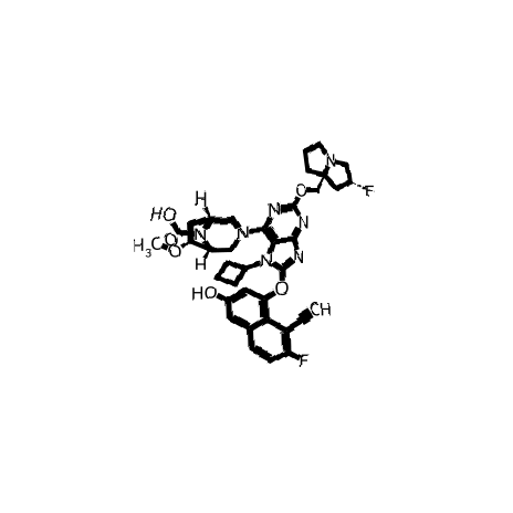 C#Cc1c(F)ccc2cc(O)cc(Oc3nc4nc(OC[C@@]56CCCN5C[C@H](F)C6)nc(N5C[C@H]6C[C@H](OC)[C@@H](C5)N6C(=O)O)c4n3C3CCC3)c12